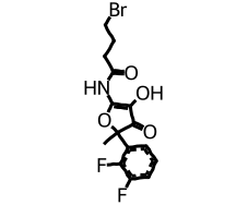 CC1(c2cccc(F)c2F)OC(NC(=O)CCCBr)=C(O)C1=O